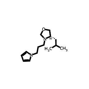 CC(C)C[C@H]1COCN1CCCn1cccc1